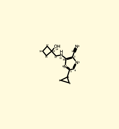 N#Cc1ncc(C2CC2)nc1NCC1(O)CCC1